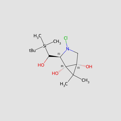 CC1(C)[C@]2(O)CN(Cl)[C@H](C(O)[Si](C)(C)C(C)(C)C)[C@]12O